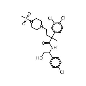 CC(CCN1CCN(S(C)(=O)=O)CC1)(C(=O)N[C@H](CO)c1ccc(Cl)cc1)c1ccc(Cl)c(Cl)c1